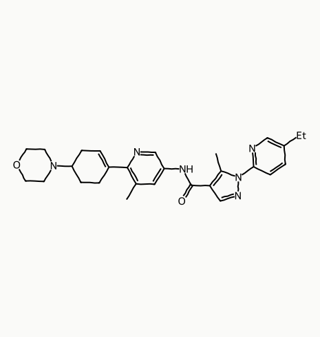 CCc1ccc(-n2ncc(C(=O)Nc3cnc(C4=CCC(N5CCOCC5)CC4)c(C)c3)c2C)nc1